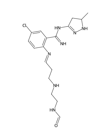 CC1CC(NC(=N)c2cc(Cl)ccc2/N=C/CCNCCNC=O)=NN1